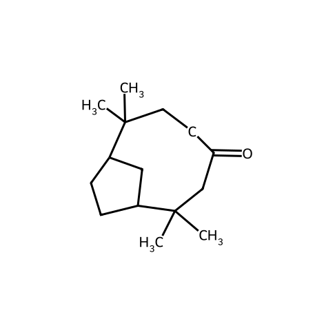 CC1(C)CCC(=O)CC(C)(C)C2CCC1C2